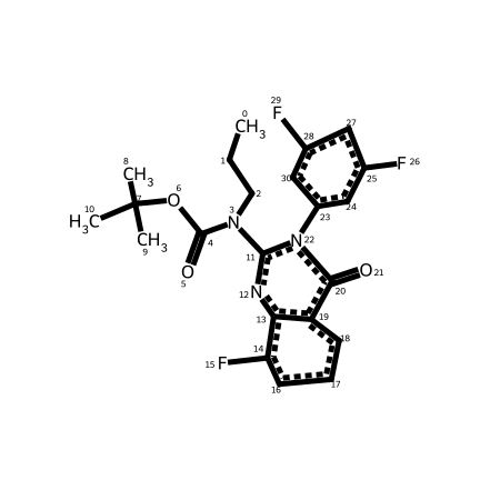 CCCN(C(=O)OC(C)(C)C)c1nc2c(F)cccc2c(=O)n1-c1cc(F)cc(F)c1